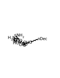 CCCCCCCCCCCCCCCCOCCCOP(=O)(O)OC[C@H]1O[C@@H](n2cc(C(N)=S)c3c(N)ncnc32)[C@H](O)[C@H]1O